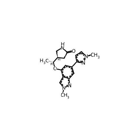 C[C@@H](Oc1cc(-c2ccn(C)n2)cc2nn(C)cc12)[C@H]1CNC(=O)C1